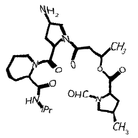 CC(C)NC(=O)C1CCCCN1C(=O)C1CC(N)CN1C(=O)CC(C)OC(=O)C1C[C@@H](C)CN1C=O